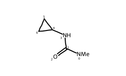 [CH2]NC(=O)NC1CC1